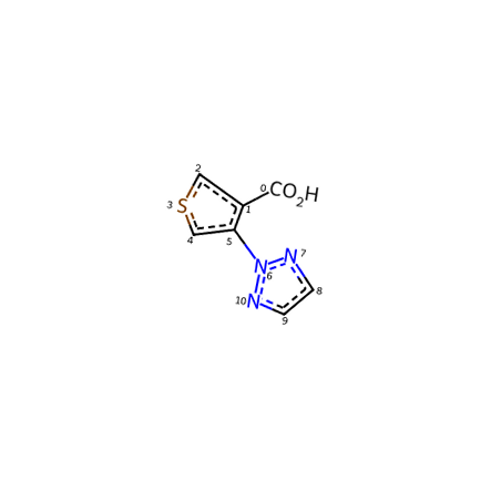 O=C(O)c1cscc1-n1nccn1